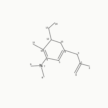 C=C(C)CC1=CC(N(C)C)=C(C)C(CC)C1